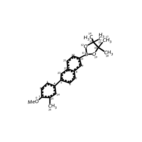 COc1ccc(-c2ccc3cc(B4OC(C)(C)C(C)(C)O4)ccc3c2)cc1C